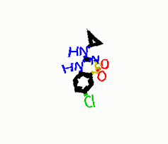 O=S1(=O)N=C(NC2CC2)Nc2ccc(Cl)cc21